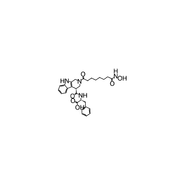 O=C(CCCCCCC(=O)N1Cc2[nH]c3ccccc3c2[C@H](C(=O)N[C@@H](Cc2ccccc2)C(=O)O)C1)NO